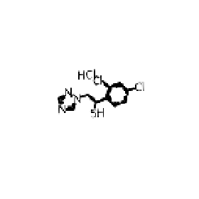 Cl.SC(Cn1cncn1)c1ccc(Cl)cc1Cl